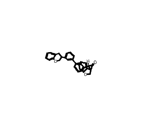 O=C1[C@H]2c3cc(-c4cccc(C5COc6ccccc6C5)c4)ccc3OCC12c1ccccc1